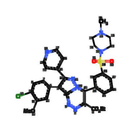 CCOC(=O)c1nnc2c(-c3ccc(Cl)c(OC)c3)c(-c3ccncc3)nn2c1-c1cccc(S(=O)(=O)N2CCN(C)CC2)c1